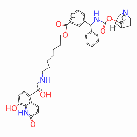 O=C(NC(c1ccccc1)c1cccc(C(=O)OCCCCCCCNC[C@@H](O)c2ccc(O)c3[nH]c(=O)ccc23)c1)O[C@H]1CN2CCC1CC2